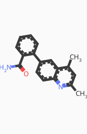 Cc1cc(C)c2cc(-c3ccccc3C(N)=O)ccc2n1